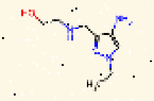 CCn1cc(N)c(CNCCO)n1